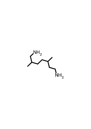 CC(CN)CCC(C)CCN